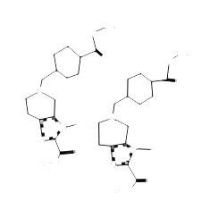 COC(=O)c1nc2c(n1C)CN(CC1CCC(C(=O)OC(C)(C)C)CC1)CC2.COC(=O)c1nc2c(n1C)CN(CC1CCC(C(=O)OC(C)(C)C)CC1)CC2